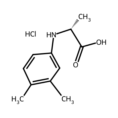 Cc1ccc(N[C@H](C)C(=O)O)cc1C.Cl